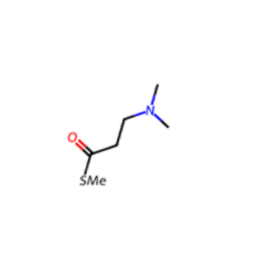 CSC(=O)CCN(C)C